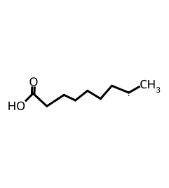 C[CH]CCCCCCC(=O)O